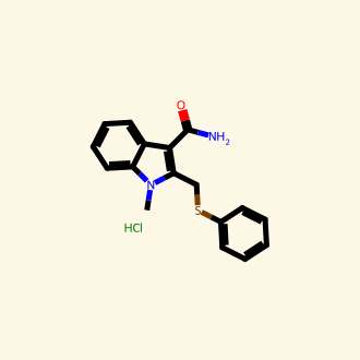 Cl.Cn1c(CSc2ccccc2)c(C(N)=O)c2ccccc21